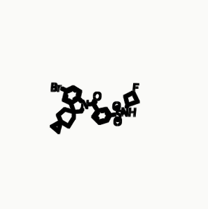 O=C(c1cccc(S(=O)(=O)NC2CC(F)C2)c1)N1CC2(CCC3(CC3)CC2)c2cc(Br)ccc21